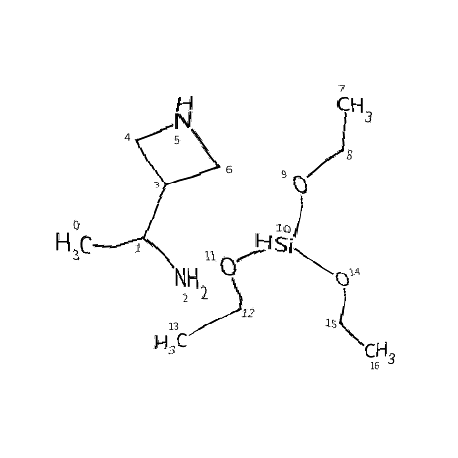 CC(N)C1CNC1.CCO[SiH](OCC)OCC